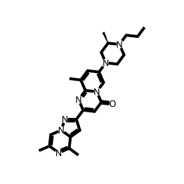 CCCN1CCN(c2cc(C)c3nc(-c4cc5c(C)nc(C)cn5n4)cc(=O)n3c2)C[C@H]1C